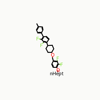 CCCCCCCOc1ccc(COC2CCC(c3ccc(-c4ccc(C)cc4)c(F)c3F)CC2)c(F)c1F